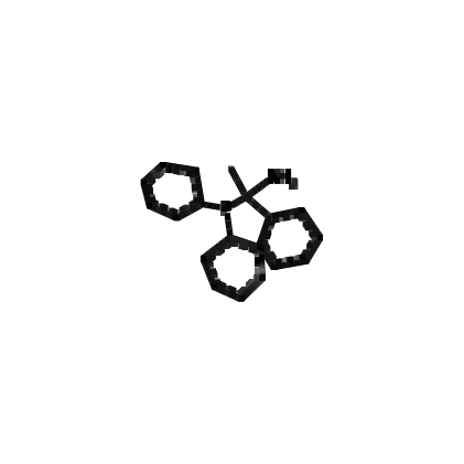 CC(N)(c1ccccc1)P(c1ccccc1)c1ccccc1